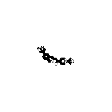 Cn1cc(-c2ccc3cnc(CC(=O)C4CCN(C5COC5)CC4)cc3c2)cn1